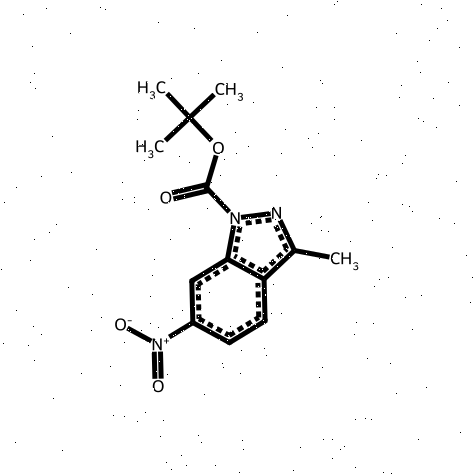 Cc1nn(C(=O)OC(C)(C)C)c2cc([N+](=O)[O-])ccc12